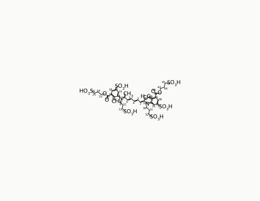 C\C(=C/C=C/C=C/C(C)=[N+](\CCCS(=O)(=O)O)c1cc(S(=O)(=O)O)cc(C(=O)OCCCS(=O)(=O)O)c1C)N(CCCS(=O)(=O)O)c1cc(S(=O)(=O)O)cc(C(=O)OCCCS(=O)(=O)O)c1C